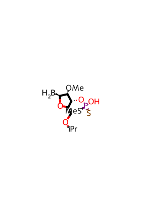 B[C@@H]1O[C@H](COC(C)C)[C@@H](OP(O)(=S)SC)[C@H]1OC